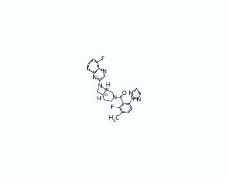 Cc1ccc(-n2nccn2)c(C(=O)N2CC[C@H]3CN(c4cnc5c(F)cccc5n4)[C@H]3C2)c1F